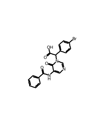 O=C(Nc1cncn(C(C(=O)O)c2ccc(Br)cc2)c1=O)c1ccccc1